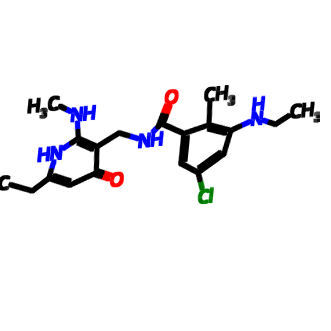 CCNc1cc(Cl)cc(C(=O)NCc2c(NC)[nH]c(CC)cc2=O)c1C